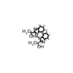 CC(O)c1nc2ccccc2n1Cn1c(C(C)O)nc2ccccc21